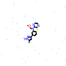 COCN1c2cc(-c3cc(C)[nH]n3)ccc2Sc2nccnc21